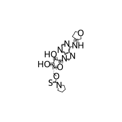 O[C@@H]1[C@H](O)[C@@H](COC(=S)N2CCCC2)O[C@H]1n1cnc2c(N[C@@H]3CCOC3)ncnc21